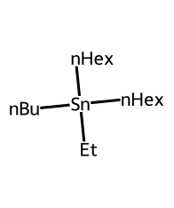 CCCCC[CH2][Sn]([CH2]C)([CH2]CCC)[CH2]CCCCC